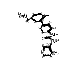 COC(=O)c1ccc(C)c(-c2ccc(NC(=O)Nc3cnccc3C)cc2)c1